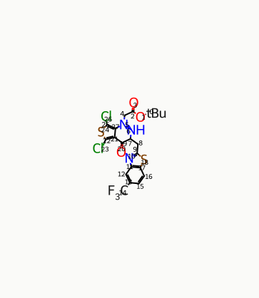 CC(C)(C)OC(=O)CN1NC(Cc2nc3cc(C(F)(F)F)ccc3s2)C(=O)c2c(Cl)sc(Cl)c21